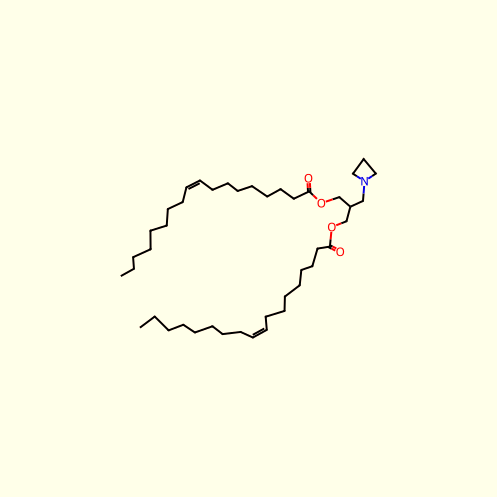 CCCCCCCC/C=C\CCCCCCCC(=O)OCC(COC(=O)CCCCCCC/C=C\CCCCCCCC)CN1CCC1